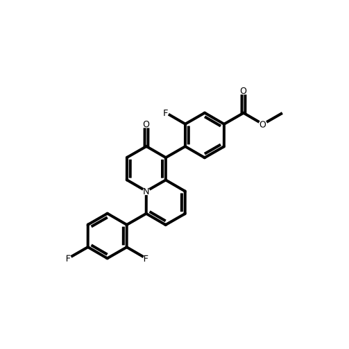 COC(=O)c1ccc(-c2c(=O)ccn3c(-c4ccc(F)cc4F)cccc23)c(F)c1